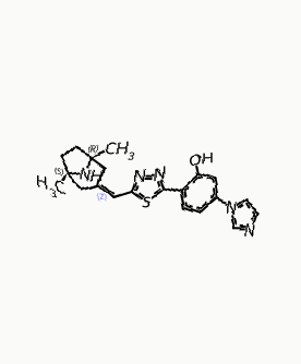 C[C@]12CC[C@](C)(C/C(=C\c3nnc(-c4ccc(-n5ccnc5)cc4O)s3)C1)N2